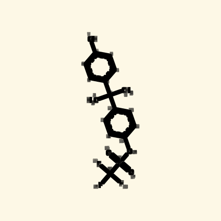 CC(C)(c1ccc(O)cc1)c1ccc(OS(=O)(=O)C(F)(F)F)cc1